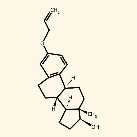 C=CCOc1ccc2c(c1)CC[C@@H]1[C@@H]2CC[C@]2(C)[C@@H](O)CC[C@@H]12